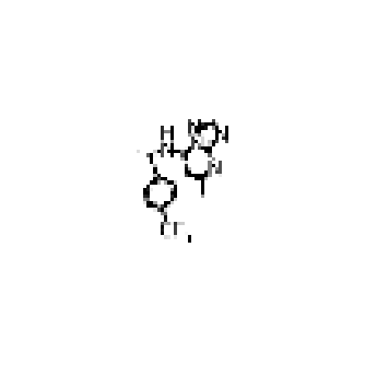 Cc1cc(N[C@@H](C)c2ccc(C(F)(F)F)cc2)n2ncnc2n1